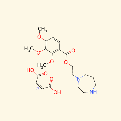 COc1ccc(C(=O)OCCN2CCCNCC2)c(OC)c1OC.O=C(O)/C=C\C(=O)O